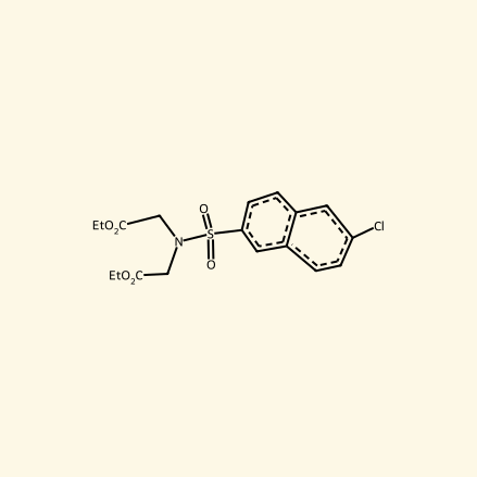 CCOC(=O)CN(CC(=O)OCC)S(=O)(=O)c1ccc2cc(Cl)ccc2c1